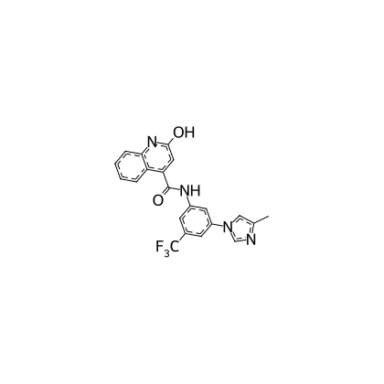 Cc1cn(-c2cc(NC(=O)c3cc(O)nc4ccccc34)cc(C(F)(F)F)c2)cn1